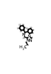 C=CCN1N=CN2c3ccccc3C(c3ccccc3)=NCC12